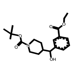 CCOC(=O)c1cccc(C(O)C2CCN(C(=O)OC(C)(C)C)CC2)c1